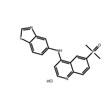 CP(C)(=O)c1ccc2nccc(Nc3ccc4scnc4c3)c2c1.Cl